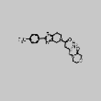 N[C@@H](CC(=O)N1CCc2sc(-c3ccc(C(F)(F)F)cc3)nc2C1)CN1CCOCC1=O